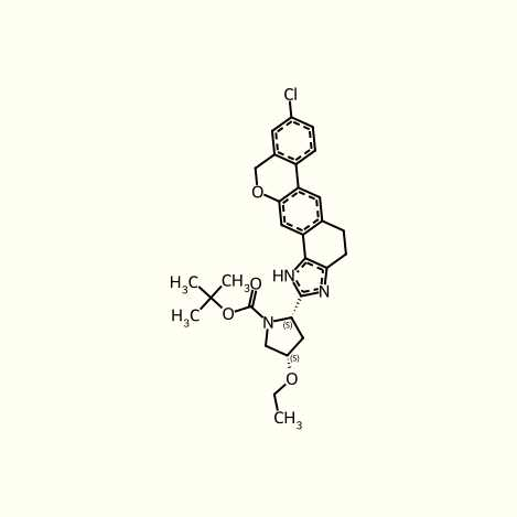 CCO[C@H]1C[C@@H](c2nc3c([nH]2)-c2cc4c(cc2CC3)-c2ccc(Cl)cc2CO4)N(C(=O)OC(C)(C)C)C1